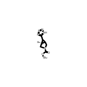 CC(C)(C)OC(=O)N1CC2C(c3nnn[nH]3)[C@@H]2C1